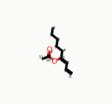 C=CC=C(CCCCC)OC(C)=O